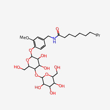 COc1cc(CNC(=O)CCCCCCC(C)C)ccc1OC1OC(CO)C(OC2OC(CO)C(O)C(O)C2O)C(O)C1O